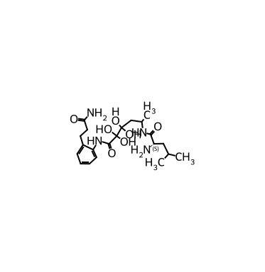 CC(C)C[C@H](N)C(=O)NC(C)CC(O)(O)C(O)(O)C(=O)Nc1ccccc1CCC(N)=O